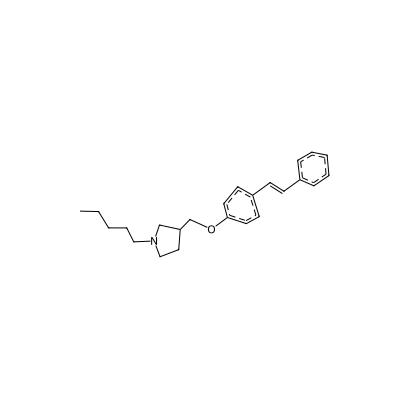 CCCCCN1CCC(COc2ccc(/C=C/c3ccccc3)cc2)C1